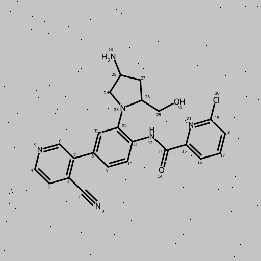 N#Cc1ccncc1-c1ccc(NC(=O)c2cccc(Cl)n2)c(N2CC(N)CC2CO)c1